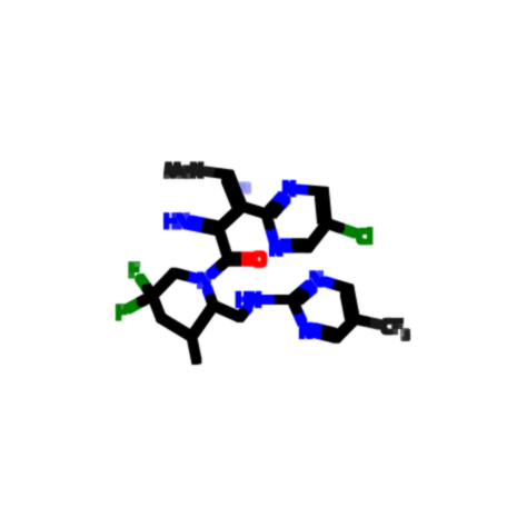 CN/C=C(\C(=N)C(=O)N1CC(F)(F)CC(C)C1CNc1ncc(C(F)(F)F)cn1)c1ncc(Cl)cn1